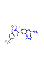 Cc1ncc2c(N)nc3cc(F)c(C(=O)N4CCOC[C@@H]4c4ccc(C(F)(F)F)cc4)cc3n12